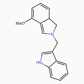 COC1=CC=CC2CN(Cc3c[nH]c4ccccc34)C=C12